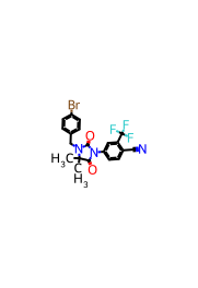 CC1(C)C(=O)N(c2ccc(C#N)c(C(F)(F)F)c2)C(=O)N1Cc1ccc(Br)cc1